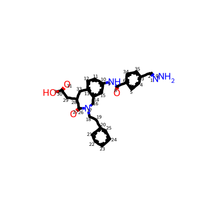 NN=Cc1ccc(C(=O)Nc2ccc3c(c2)CN(CCc2ccccc2)C(=O)C(CC(=O)O)C3)cc1